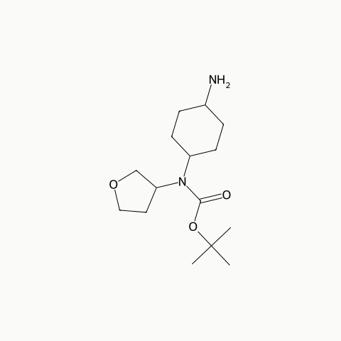 CC(C)(C)OC(=O)N(C1CCC(N)CC1)C1CCOC1